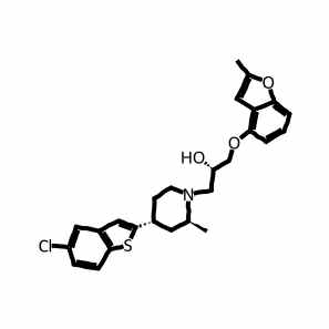 Cc1cc2c(OC[C@@H](O)CN3CC[C@@H](c4cc5cc(Cl)ccc5s4)C[C@@H]3C)cccc2o1